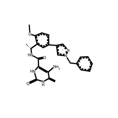 C=C1NC(=O)NC(C(=O)N[C@H](C)c2cc(-c3cnn(Cc4ccccc4)c3)ccc2OC)=C1N